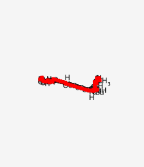 Cc1ncsc1-c1ccc(CNC(=O)[C@@H]2C[C@@H](O)CN2C(=O)[C@@H](NC(=O)COCCOCCOCCOCCOCCOCCNC(=O)CCCCCCCCOc2ccc(N3C[C@H]4C[C@@H]3CN4/C=C/C(=O)c3ccccc3O)nc2)C(C)(C)C)cc1